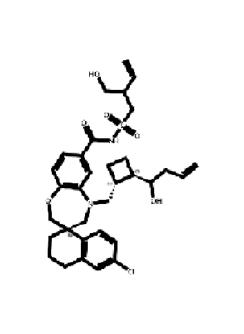 C=CCC(O)[C@@H]1CC[C@H]1CN1C[C@@]2(CCCc3cc(Cl)ccc32)COc2ccc(C(=O)NS(=O)(=O)CC(C=C)CO)cc21